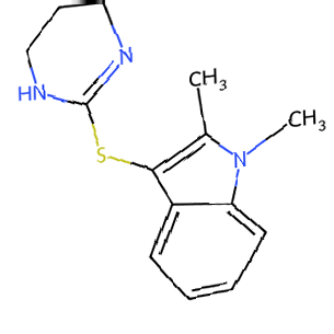 Cc1c(SC2=NCCCN2)c2ccccc2n1C